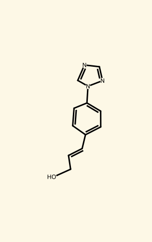 OC/C=C/c1ccc(-n2cncn2)cc1